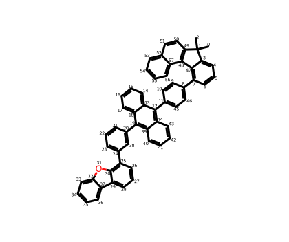 CC1(C)c2cccc(-c3ccc(-c4c5ccccc5c(-c5cccc(-c6cccc7c6oc6ccccc67)c5)c5ccccc45)cc3)c2-c2c1ccc1ccccc21